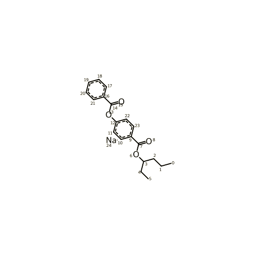 CCCC(CC)OC(=O)c1ccc(OC(=O)c2ccccc2)cc1.[Na]